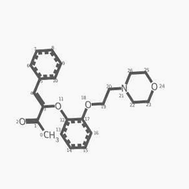 CC(=O)C(=Cc1ccccc1)Oc1ccccc1OCCN1CCOCC1